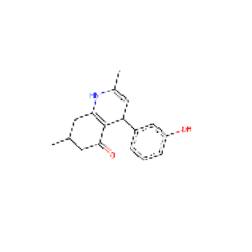 CC1=CC(c2cccc(O)c2)C2=C(CC(C)CC2=O)N1